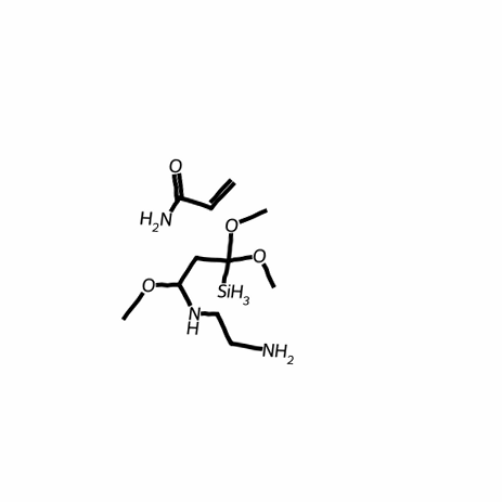 C=CC(N)=O.COC(CC([SiH3])(OC)OC)NCCN